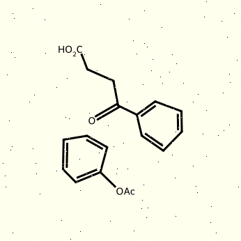 CC(=O)Oc1ccccc1.O=C(O)CCC(=O)c1ccccc1